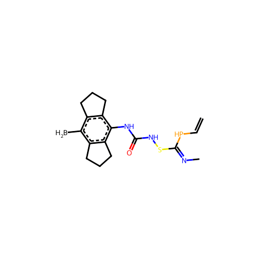 Bc1c2c(c(NC(=O)NS/C(=N/C)PC=C)c3c1CCC3)CCC2